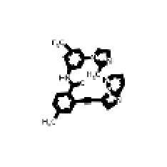 Cc1ccc(C(=O)Nc2cc(-n3ccnc3C)cc(C(F)(F)F)c2)c(C#Cc2cnc3cccnn23)c1